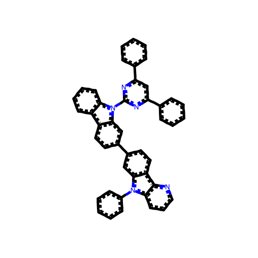 c1ccc(-c2cc(-c3ccccc3)nc(-n3c4ccccc4c4ccc(-c5ccc6c7ncccc7n(-c7ccccc7)c6c5)cc43)n2)cc1